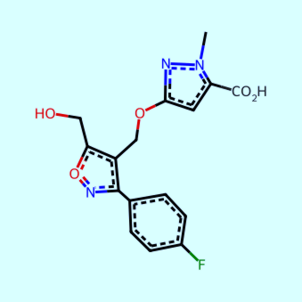 Cn1nc(OCc2c(-c3ccc(F)cc3)noc2CO)cc1C(=O)O